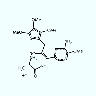 COc1ccc(/C=C(/C#N)Cc2sc(OC)c(OC)c2OC)cc1N.C[C@H](N)C(N)=O.Cl